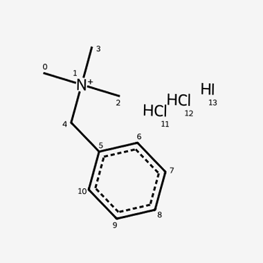 C[N+](C)(C)Cc1ccccc1.Cl.Cl.I